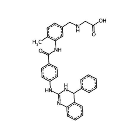 Cc1ccc(CNCC(=O)O)cc1NC(=O)c1ccc(NC2=Nc3ccccc3C(c3ccccc3)N2)cc1